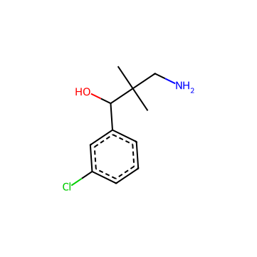 CC(C)(CN)C(O)c1cccc(Cl)c1